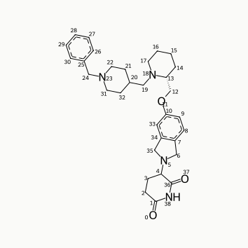 O=C1CCC(N2Cc3ccc(OC[C@H]4CCCCN4CC4CCN(Cc5ccccc5)CC4)cc3C2)C(=O)N1